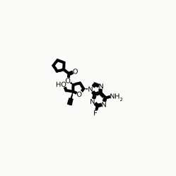 C#C[C@]1(CO)O[C@@H](n2cnc3c(N)nc(F)nc32)C[C@@H]1OC(=O)C1CCCC1